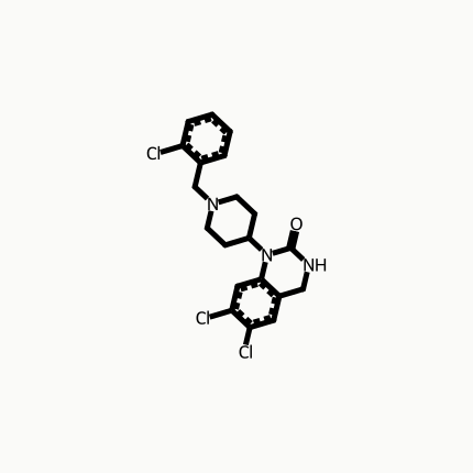 O=C1NCc2cc(Cl)c(Cl)cc2N1C1CCN(Cc2ccccc2Cl)CC1